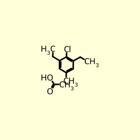 CC(=O)O.CCc1cc(C)cc(CC)c1Cl